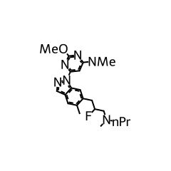 CCCN(C)CC(F)Cc1cc2c(cnn2-c2cc(NC)nc(OC)n2)cc1C